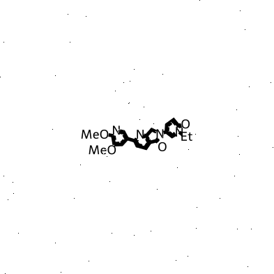 CCn1cc(N2Cc3nc(-c4cnc(OC)c(OC)c4)ccc3C2=O)ccc1=O